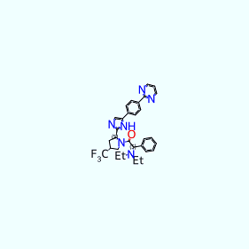 CCN(CC)[C@H](C(=O)N1CC(C(F)(F)F)C[C@H]1c1ncc(-c2ccc(-c3ncccn3)cc2)[nH]1)c1ccccc1